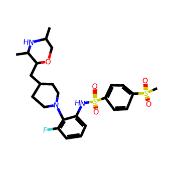 CC1COC(CC2CCN(c3c(F)cccc3NS(=O)(=O)c3ccc(S(C)(=O)=O)cc3)CC2)C(C)N1